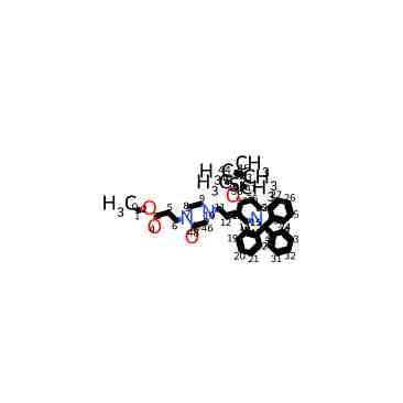 CCOC(=O)CCN1CCN(CC=C2CN(C(c3ccccc3)(c3ccccc3)c3ccccc3)CCC2O[Si](C)(C)C(C)(C)C)CC1=O